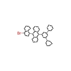 Brc1ccc(-c2c3ccccc3c(-c3cc(-c4ccccc4)cc(-c4ccccc4)c3)c3ccccc23)c2ccccc12